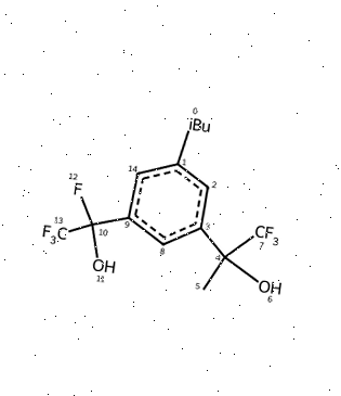 CCC(C)c1cc(C(C)(O)C(F)(F)F)cc(C(O)(F)C(F)(F)F)c1